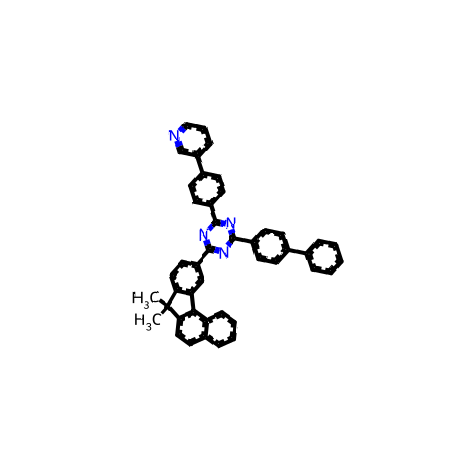 CC1(C)c2ccc(-c3nc(-c4ccc(-c5ccccc5)cc4)nc(-c4ccc(-c5cccnc5)cc4)n3)cc2-c2c1ccc1ccccc21